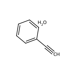 C#Cc1ccccc1.O